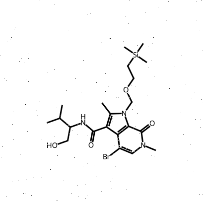 Cc1c(C(=O)NC(CO)C(C)C)c2c(Br)cn(C)c(=O)c2n1COCC[Si](C)(C)C